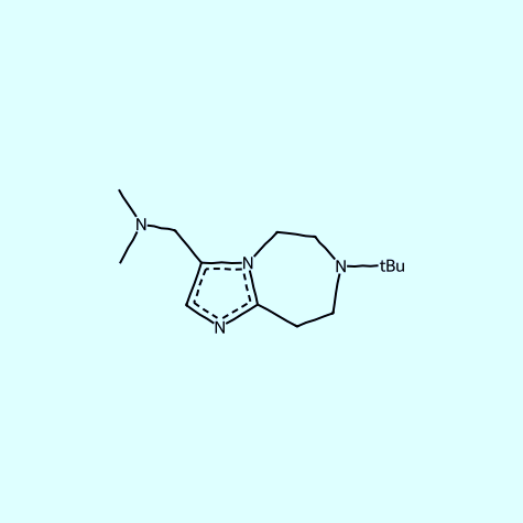 CN(C)Cc1cnc2n1CCN(C(C)(C)C)CC2